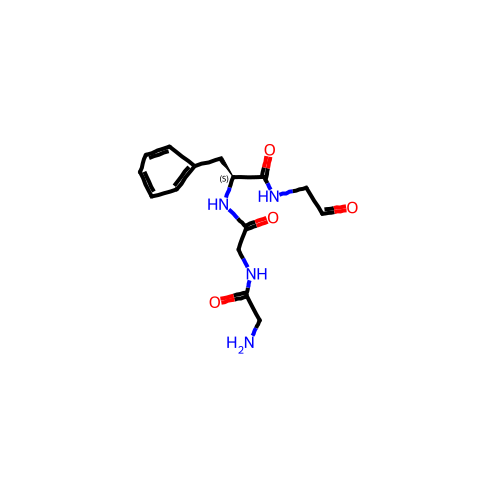 NCC(=O)NCC(=O)N[C@@H](Cc1ccccc1)C(=O)NCC=O